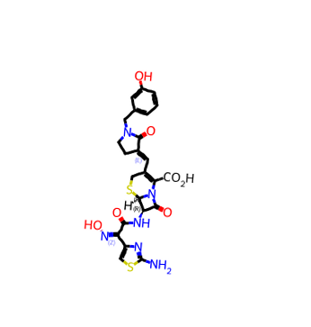 Nc1nc(/C(=N/O)C(=O)N[C@@H]2C(=O)N3C(C(=O)O)=C(/C=C4\CCN(Cc5cccc(O)c5)C4=O)CS[C@H]23)cs1